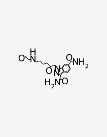 NC(=O)c1ccc2c(C(N)=O)nn(CC(=O)CCCCNCC=O)c2c1